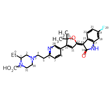 CCC1CN(CCc2ccc(C3=C/C(=C4\C(=O)Nc5cc(F)ccc54)OC3(C)C)cn2)CCN1C(=O)O